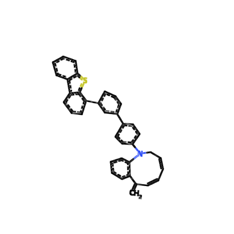 C=C1/C=C\C=C/CN(c2ccc(-c3cccc(-c4cccc5c4sc4ccccc45)c3)cc2)c2ccccc21